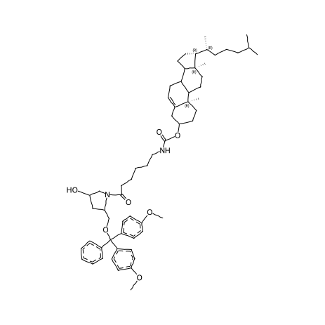 COc1ccc(C(OCC2CC(O)CN2C(=O)CCCCCNC(=O)OC2CC[C@@]3(C)C(=CCC4C3CC[C@@]3(C)C4CC[C@@H]3[C@H](C)CCCC(C)C)C2)(c2ccccc2)c2ccc(OC)cc2)cc1